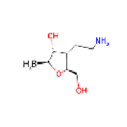 B[C@@H]1O[C@H](CO)[C@@H](CCN)[C@H]1O